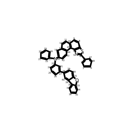 c1ccc(-c2nc3c(ccc4ccc5cc(N(c6ccccc6)c6cccc(-c7ccc8oc9ccccc9c8c7)c6)ccc5c43)s2)cc1